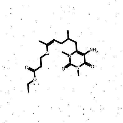 CCOC(=O)CCS/C(C)=C\CC(C)Cc1c(N)c(=O)n(C)c(=O)n1C